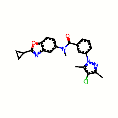 Cc1nn(-c2cccc(C(=O)N(C)c3ccc4oc(C5CC5)nc4c3)c2)c(C)c1Cl